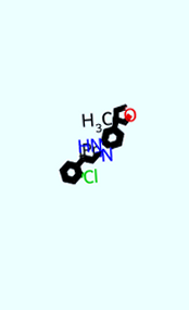 CC(C)/C(=C\c1nc2ccc(C3(C)CCOC3)cc2[nH]1)c1ccccc1Cl